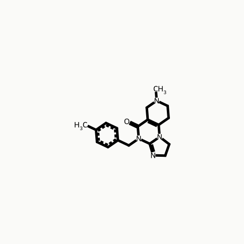 Cc1ccc(CN2C(=O)C3=C(CCN(C)C3)N3CCN=C23)cc1